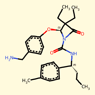 CCC[C@@H](NC(=O)N1C(=O)C(CC)(CC)[C@@H]1Oc1ccc(CN)cc1)c1ccc(C)cc1